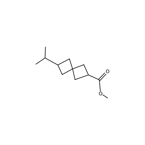 COC(=O)C1CC2(C1)CC(C(C)C)C2